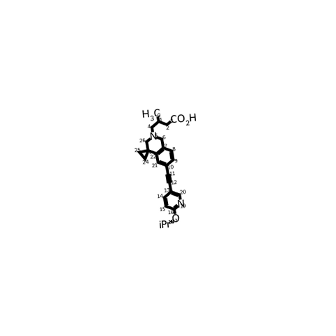 CC(CC(=O)O)CN1Cc2ccc(C#Cc3ccc(OC(C)C)nc3)cc2C2(CC2)C1